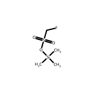 C[Si](C)(C)OS(=O)(=O)CF